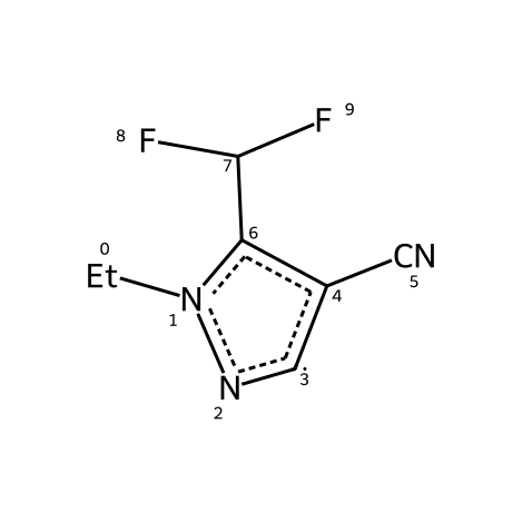 CCn1n[c]c(C#N)c1C(F)F